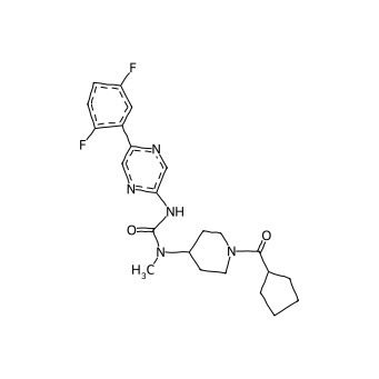 CN(C(=O)Nc1cnc(-c2cc(F)ccc2F)cn1)C1CCN(C(=O)C2CCCC2)CC1